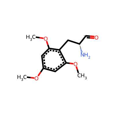 COc1cc(OC)c(C[C@@H](N)[C]=O)c(OC)c1